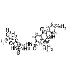 CC(C)(C)OC(=O)NS(=O)(=O)NCCNC(=O)c1ccc2c(c1)C(C)(C)c1[nH]c3cc(N)ccc3c1C2=O